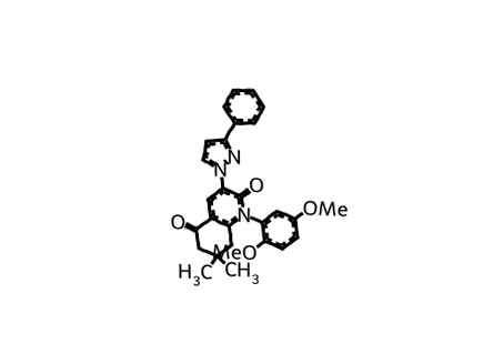 COc1ccc(OC)c(-n2c3c(cc(-n4ccc(-c5ccccc5)n4)c2=O)C(=O)CC(C)(C)C3)c1